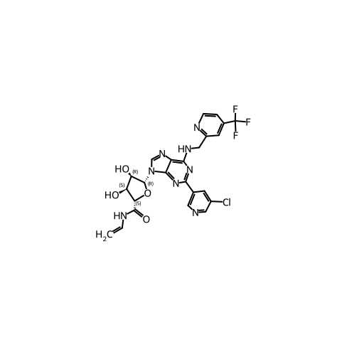 C=CNC(=O)[C@H]1O[C@@H](n2cnc3c(NCc4cc(C(F)(F)F)ccn4)nc(-c4cncc(Cl)c4)nc32)[C@H](O)[C@@H]1O